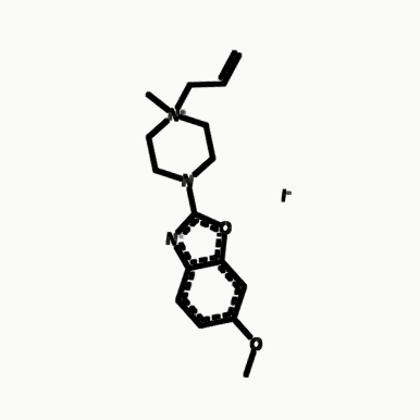 C=CC[N+]1(C)CCN(c2nc3ccc(OC)cc3o2)CC1.[I-]